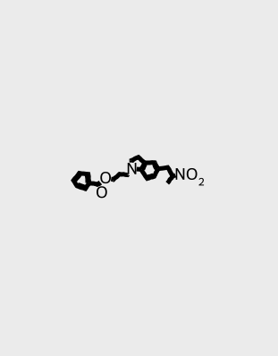 CC(Cc1ccc2c(c1)CCN2CCCOC(=O)c1ccccc1)[N+](=O)[O-]